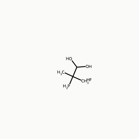 CC(C)(P)C(O)O.F